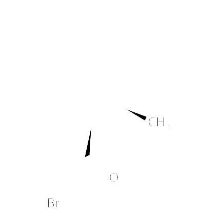 C[C@@H]1c2ccccc2C[C@@H]1C(=O)CBr